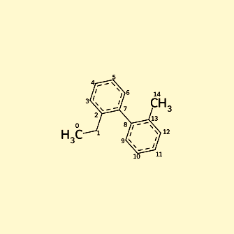 CCc1ccccc1-c1ccccc1C